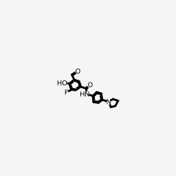 O=Cc1cc(C(=O)Nc2ccc(N3CCCC3)cc2)cc(F)c1O